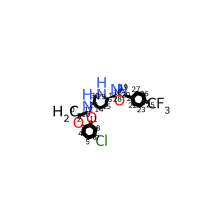 C=C(Oc1ccc(Cl)cc1)C(=O)N[C@H]1CC[C@H](c2nnc(-c3ccc(C(F)(F)F)cc3)o2)NC1